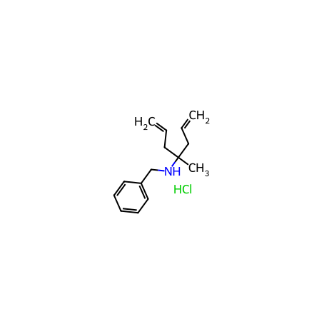 C=CCC(C)(CC=C)NCc1ccccc1.Cl